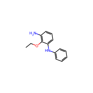 CCOc1c(N)cccc1Nc1ccccc1